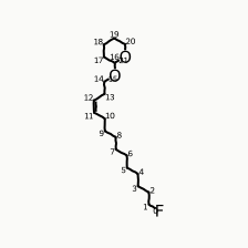 FCCCCCCCCCC/C=C\CCOC1CCCCO1